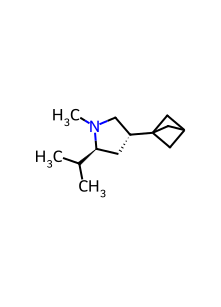 CC(C)[C@@H]1C[C@@H](C23CC(C2)C3)CN1C